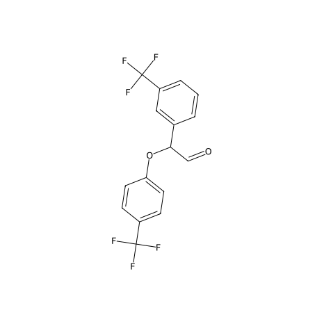 O=CC(Oc1ccc(C(F)(F)F)cc1)c1cccc(C(F)(F)F)c1